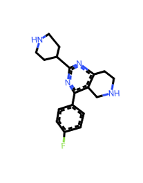 Fc1ccc(-c2nc(C3CCNCC3)nc3c2CNCC3)cc1